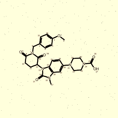 COc1ccc(CN2C(=O)CCC(n3c(=O)n(C)c4cc(N5CCN(C(=O)O)CC5)ccc43)C2=O)cc1